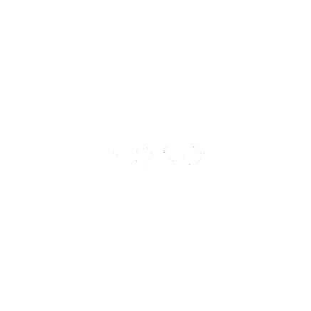 O=C(Nc1ccncc1)c1ccc(C2CCCN2)cc1